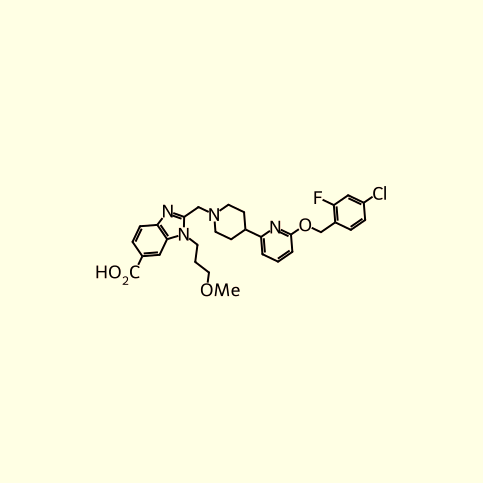 COCCCn1c(CN2CCC(c3cccc(OCc4ccc(Cl)cc4F)n3)CC2)nc2ccc(C(=O)O)cc21